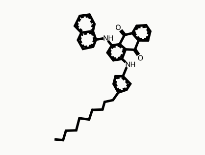 CCCCCCCCCCc1ccc(Nc2ccc(Nc3cccc4ccccc34)c3c2C(=O)c2ccccc2C3=O)cc1